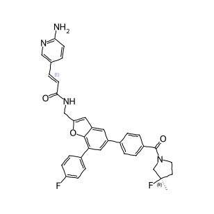 C[C@@]1(F)CCN(C(=O)c2ccc(-c3cc(-c4ccc(F)cc4)c4oc(CNC(=O)/C=C/c5ccc(N)nc5)cc4c3)cc2)C1